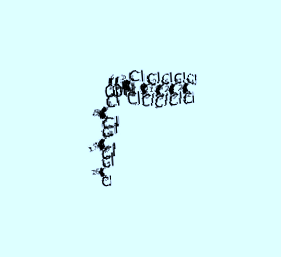 CO.CO.ClCCl.ClCCl.ClCCl.ClCCl.ClCCl.ClCCl.ClCCl.ClCCl